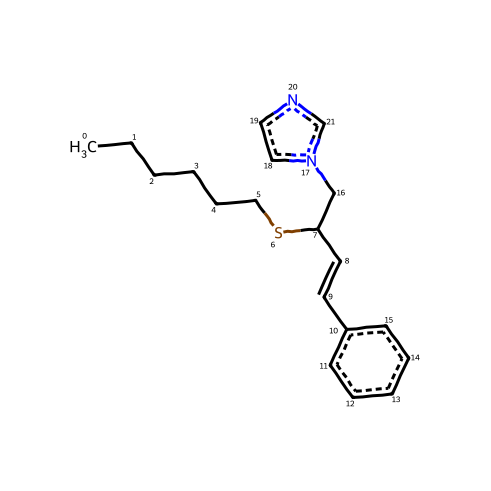 CCCCCCSC(/C=C/c1ccccc1)Cn1ccnc1